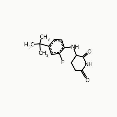 CC(C)(C)c1ccc(NC2CCC(=O)NC2=O)c(F)c1